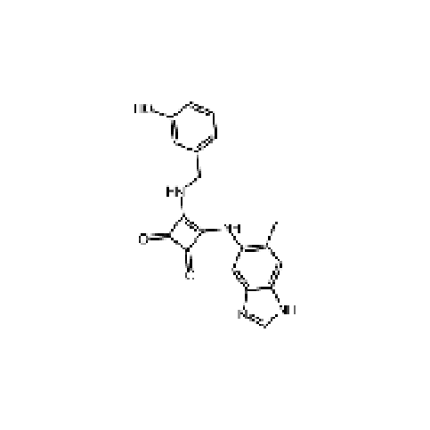 Cc1cc2[nH]cnc2cc1Nc1c(NCc2cccc(O)c2)c(=O)c1=O